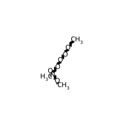 CCCCOCCOCCOCCOCCC(=O)N(C)CCOCC